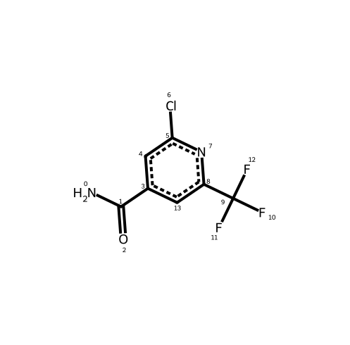 NC(=O)c1cc(Cl)nc(C(F)(F)F)c1